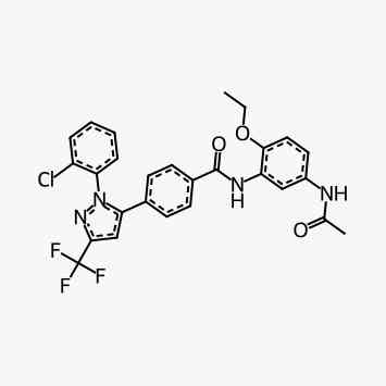 CCOc1ccc(NC(C)=O)cc1NC(=O)c1ccc(-c2cc(C(F)(F)F)nn2-c2ccccc2Cl)cc1